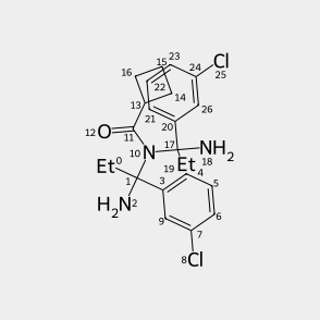 CCC(N)(c1cccc(Cl)c1)N(C(=O)C1CCC1)C(N)(CC)c1cccc(Cl)c1